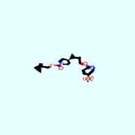 CC1(COC(=O)N2CCC([C@H]3CC3CCOc3ccc(S(C)(=O)=O)cn3)CC2)CC1